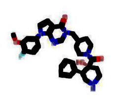 COc1cc(-n2ccc3c(=O)n(CC4CCN(C(=O)[C@@]5(O)CCNC[C@H]5c5ccccc5)CC4)cnc32)ccc1F